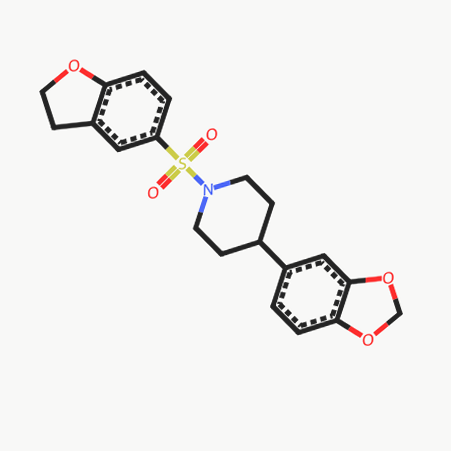 O=S(=O)(c1ccc2c(c1)CCO2)N1CCC(c2ccc3c(c2)OCO3)CC1